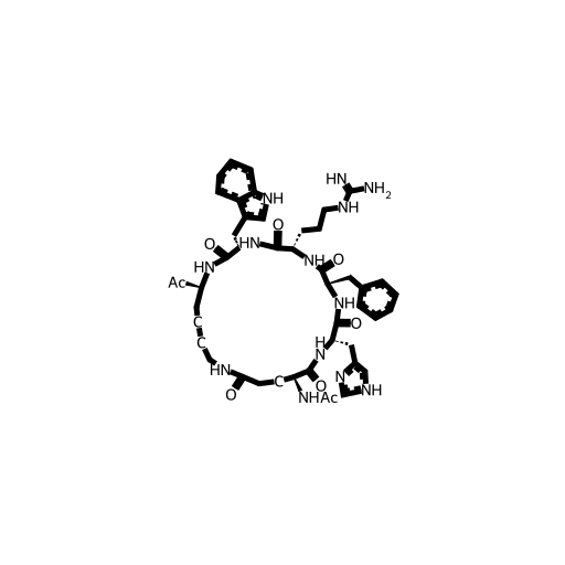 CC(=O)N[C@H]1CCC(=O)NCCCC[C@@H](C(C)=O)NC(=O)[C@H](Cc2c[nH]c3ccccc23)NC(=O)[C@H](CCCNC(=N)N)NC(=O)[C@@H](Cc2ccccc2)NC(=O)[C@H](Cc2c[nH]cn2)NC1=O